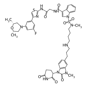 C[C@@H]1CN(c2cc(F)cc(-c3csc(NC(=O)CNC(=O)c4cn(S(=O)(=O)N(C)CCCCNCCCc5ccc6c(c5)n(C)c(=O)n6C5CCC(=O)NC5=O)c5ccccc45)n3)c2)C[C@H](C)O1